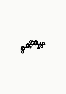 COC(=O)/C(C)=C(/c1ccc2c(c1)CC(c1ccc(-c3ccnc(OC)c3)cc1F)OC2)C1CC1